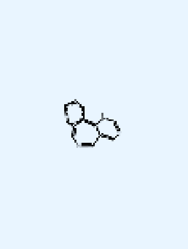 C1=NC=C2C=NC=c3ccccc3=C2N1